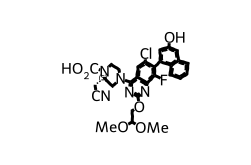 COC(COc1nc(N2CCN(C(=O)O)[C@@H](CC#N)C2)c2cc(Cl)c(-c3cc(O)cc4ccccc34)c(F)c2n1)OC